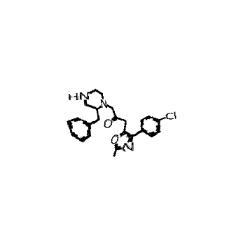 Cc1nc(-c2ccc(Cl)cc2)c(CC(=O)CN2CCNCC2Cc2ccccc2)o1